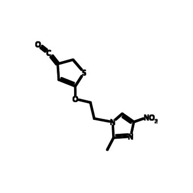 Cc1nc([N+](=O)[O-])cn1CCOC1=CC(=C=O)CS1